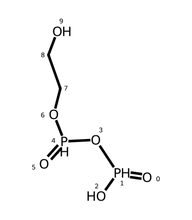 O=[PH](O)O[PH](=O)OCCO